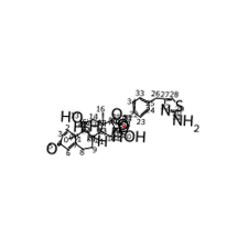 C[C@]12C=CC(=O)C=C1CC[C@@H]1[C@@H]2[C@@H](O)C[C@@]2(C)[C@H]1C[C@H]1O[C@@H](c3ccc(Cc4csc(N)n4)cc3)O[C@]12C(=O)CO